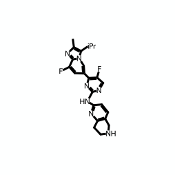 Cc1nc2c(F)cc(-c3nc(Nc4ccc5c(n4)CCNC5)ncc3F)cn2c1C(C)C